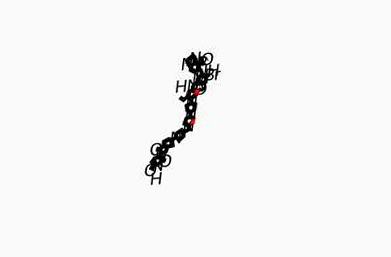 CCc1cc(Nc2ncc(Br)c(Nc3ccc4nccnc4c3P(C)(C)=O)n2)c(OC)cc1N1CCC(N2CCN(CC3CCN(c4ccc5c(c4)CN(C4CCC(=O)NC4=O)C5=O)CC3)CC2)CC1